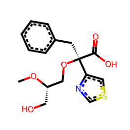 CO[C@@H](CO)CO[C@@](Cc1ccccc1)(C(=O)O)c1cscn1